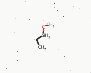 [CH2]C[SiH2]OC